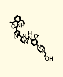 CCc1cccc(CC)c1NC(=O)c1cc(-c2ccnc(Nc3ccc(N4CCN(CCO)CC4)cc3OC)n2)n(C)c1